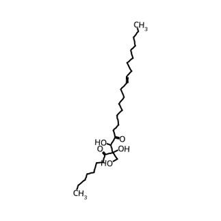 CCCCCCCCC=CCCCCCCCC(=O)C(O)C(O)(CO)C(=O)CCCCCCC